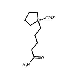 NC(=O)CCCC[N+]1(C(=O)[O-])CCCC1